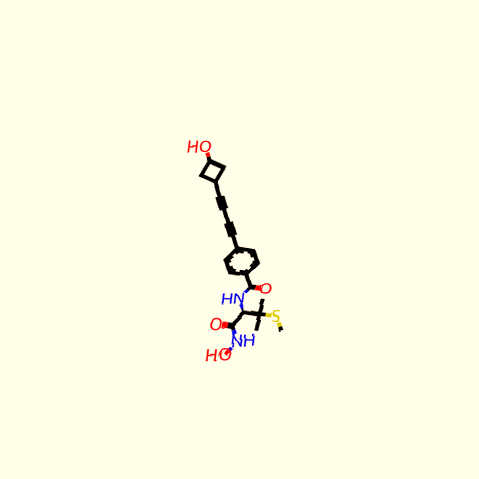 CSC(C)(C)[C@H](NC(=O)c1ccc(C#CC#CC2CC(O)C2)cc1)C(=O)NO